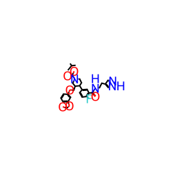 CC(C)(C)OC(=O)N1CCC(c2ccc(F)c(C(=O)NCCc3cn[nH]c3)c2)C(COc2ccc3c(c2)OCO3)C1